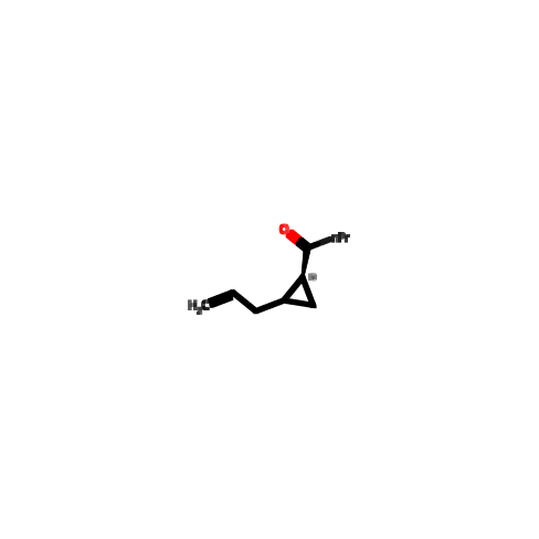 C=CCC1C[C@@H]1C(=O)CCC